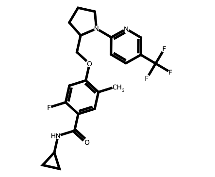 Cc1cc(C(=O)NC2CC2)c(F)cc1OCC1CCCN1c1ccc(C(F)(F)F)cn1